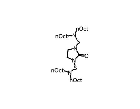 CCCCCCCCN(CCCCCCCC)SN1CCN(SN(CCCCCCCC)CCCCCCCC)C1=O